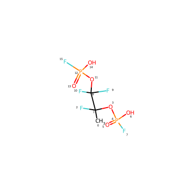 CC(F)(OP(=O)(O)F)C(F)(F)OP(=O)(O)F